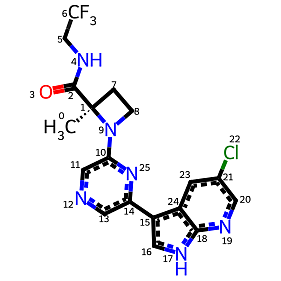 C[C@]1(C(=O)NCC(F)(F)F)CCN1c1cncc(-c2c[nH]c3ncc(Cl)cc23)n1